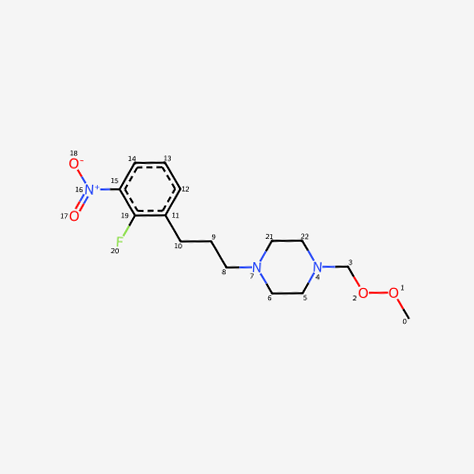 COOCN1CCN(CCCc2cccc([N+](=O)[O-])c2F)CC1